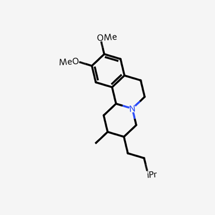 COc1cc2c(cc1OC)C1CC(C)C(CCC(C)C)CN1CC2